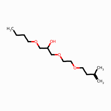 C=C(C)CCOCCOCC(O)COCCCC